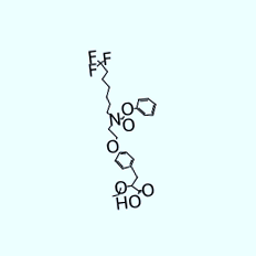 CCOC(Cc1ccc(OCCN(CCCCCCC(F)(F)F)C(=O)Oc2ccccc2)cc1)C(=O)O